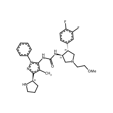 COCCN1C[C@@H](NC(=O)Nc2c(C)c([C@H]3CCCN3)nn2-c2ccccc2)[C@H](c2ccc(F)c(F)c2)C1